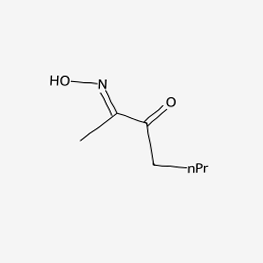 CCCCC(=O)/C(C)=N/O